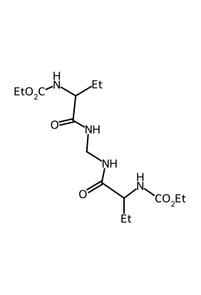 CCOC(=O)NC(CC)C(=O)NCNC(=O)C(CC)NC(=O)OCC